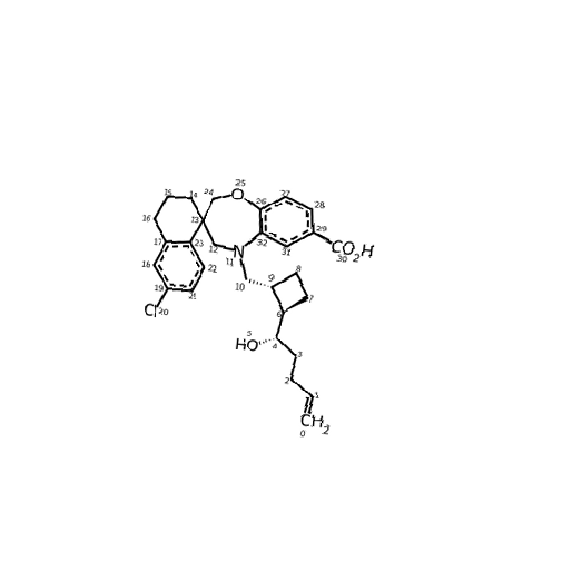 C=CCC[C@H](O)[C@@H]1CC[C@H]1CN1CC2(CCCc3cc(Cl)ccc32)COc2ccc(C(=O)O)cc21